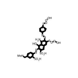 CNCc1ccc(/N=N/c2c(S(=O)(=O)O)cc3cc(SOOO)c(/N=N/c4ccc(SOOO)cc4)c(N)c3c2O)c(S(=O)(=O)O)c1